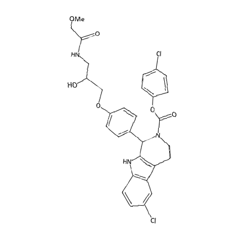 COCC(=O)NCC(O)COc1ccc(C2c3[nH]c4ccc(Cl)cc4c3CCN2C(=O)Oc2ccc(Cl)cc2)cc1